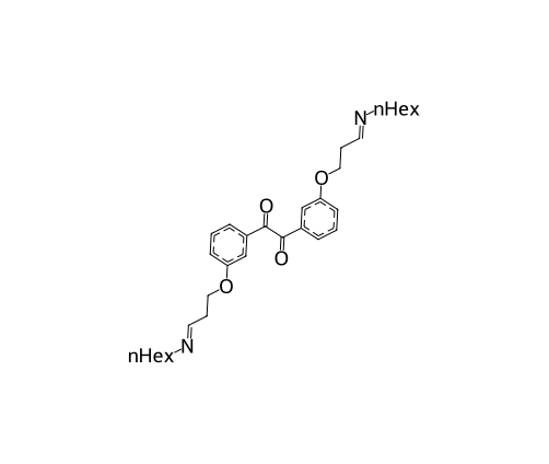 CCCCCCN=CCCOc1cccc(C(=O)C(=O)c2cccc(OCCC=NCCCCCC)c2)c1